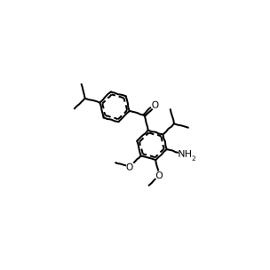 COc1cc(C(=O)c2ccc(C(C)C)cc2)c(C(C)C)c(N)c1OC